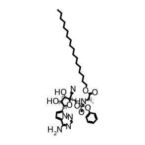 CCCCCCCCCCCCCCCCCCOC(=O)[C@H](C)NP(=O)(OC[C@@]1(C#N)O[C@@H](c2ccc3c(N)ncnn23)[C@H](O)[C@@H]1O)Oc1ccccc1